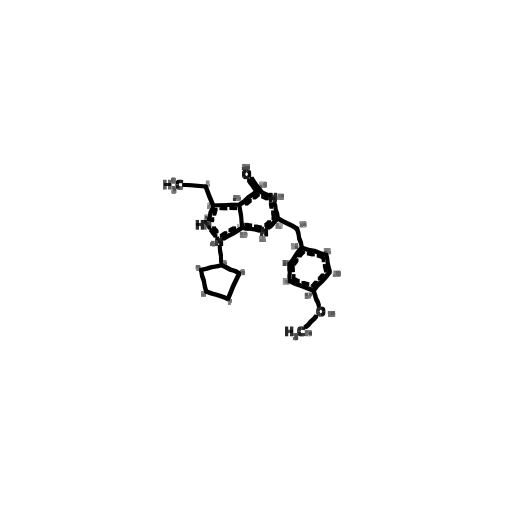 CCc1[nH]n(C2CCCC2)c2nc(Cc3ccc(OC)cc3)nc(=O)c1-2